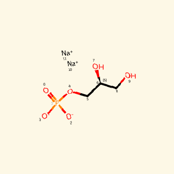 O=P([O-])([O-])OC[C@@H](O)CO.[Na+].[Na+]